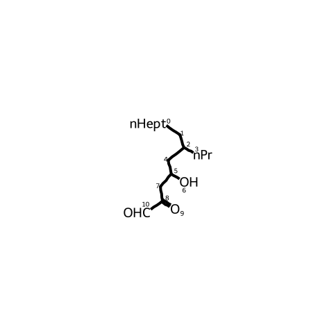 CCCCCCCCC(CCC)CC(O)CC(=O)C=O